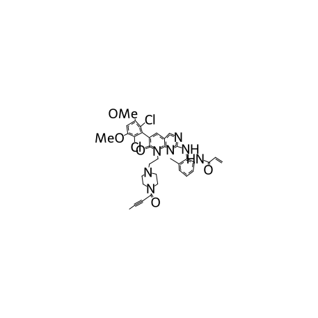 C=CC(=O)Nc1cccc(C)c1Nc1ncc2cc(-c3c(Cl)c(OC)cc(OC)c3Cl)c(=O)n(CCN3CCN(C(=O)C#CC)CC3)c2n1